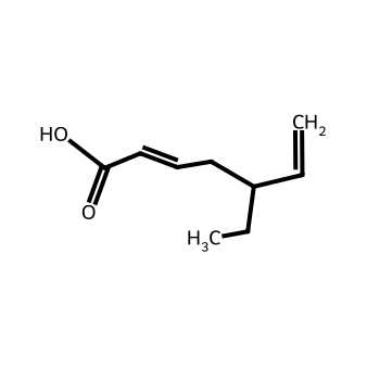 C=CC(CC)CC=CC(=O)O